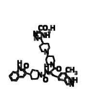 Cc1cc(C[C@@H](NC(=O)N2CCC(c3cc4ccccc4[nH]c3=O)CC2)C(=O)N2CCC(N3CCC(c4nnc(C(=O)O)[nH]4)CC3)CC2)cc2cn[nH]c12